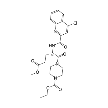 CCOC(=O)N1CCN(C(=O)[C@H](CCC(=O)OC)NC(=O)c2cc(Cl)c3ccccc3n2)CC1